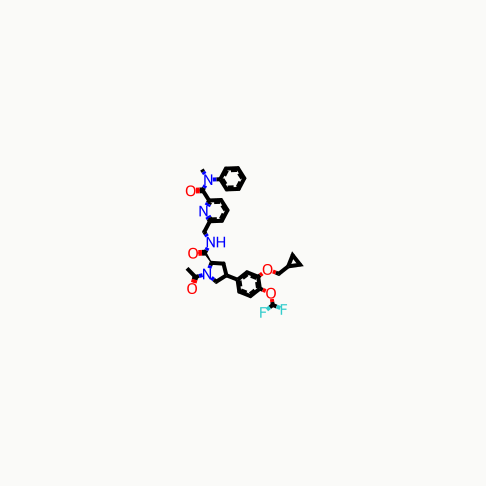 CC(=O)N1CC(c2ccc(OC(F)F)c(OCC3CC3)c2)C[C@@H]1C(=O)NCc1cccc(C(=O)N(C)c2ccccc2)n1